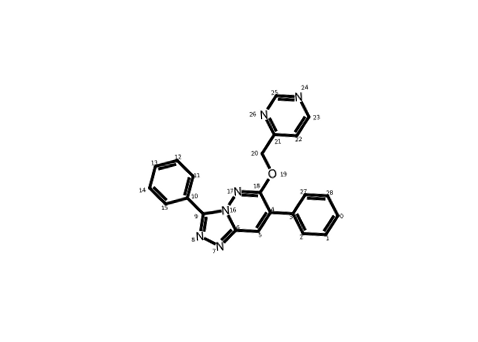 c1ccc(-c2cc3nnc(-c4ccccc4)n3nc2OCc2ccncn2)cc1